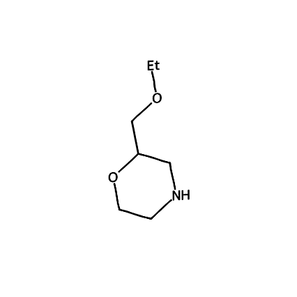 CCOCC1CNCCO1